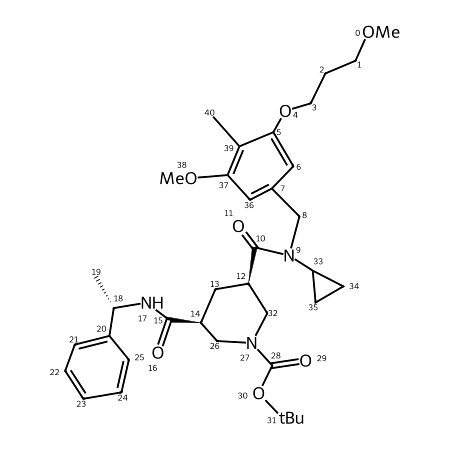 COCCCOc1cc(CN(C(=O)[C@@H]2C[C@H](C(=O)N[C@@H](C)c3ccccc3)CN(C(=O)OC(C)(C)C)C2)C2CC2)cc(OC)c1C